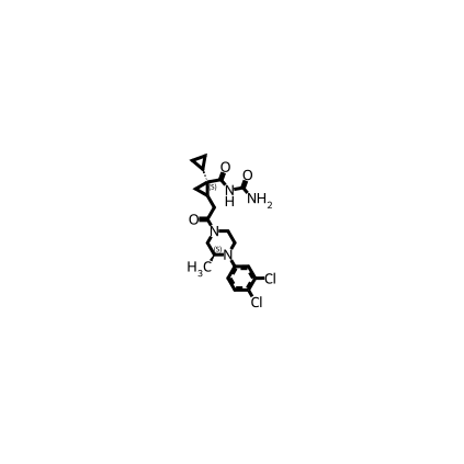 C[C@H]1CN(C(=O)CC2C[C@]2(C(=O)NC(N)=O)C2CC2)CCN1c1ccc(Cl)c(Cl)c1